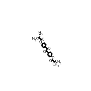 C=C(C)C(=O)Oc1ccc(C(=O)C(=O)c2ccc(OC(=O)C(=C)C)cc2)cc1